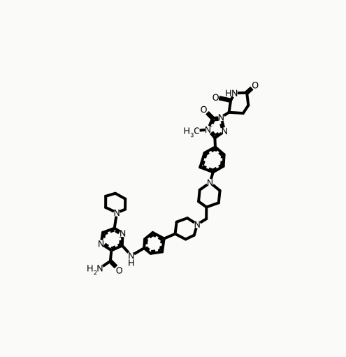 Cn1c(-c2ccc(N3CCC(CN4CCC(c5ccc(Nc6nc(N7CCCCC7)cnc6C(N)=O)cc5)CC4)CC3)cc2)nn(C2CCC(=O)NC2=O)c1=O